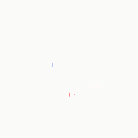 CC1=CC(C(=O)O)C(N)(C2(C(C)C)CCCCC2)C=C1